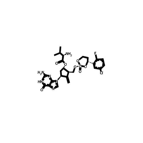 C=C1[C@H](CO[P@]2(=O)OCC[C@H](c3cc(Cl)ccc3F)O2)[C@@H](OC(=O)[C@@H](N)C(C)C)C[C@@H]1n1cnc2c(=O)[nH]c(N)nc21